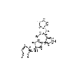 Cc1cccc(Nc2nc3c(s2)CCN(C[C@@H]2CCCO2)c2n[nH]cc2-3)n1